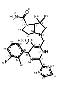 CCOC(=O)C1=C(CN2CC(F)(F)C3C2CCN3C(N)=O)NC(c2nccs2)=NC1c1cccc(F)c1C